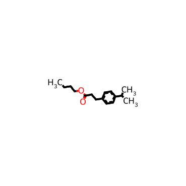 CCCCOC(=O)CCc1ccc(C(C)C)cc1